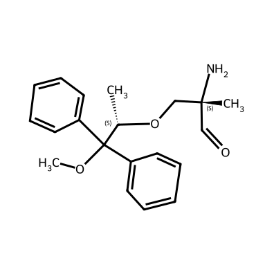 COC(c1ccccc1)(c1ccccc1)[C@H](C)OC[C@](C)(N)C=O